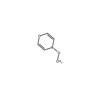 COB1C=COC=C1